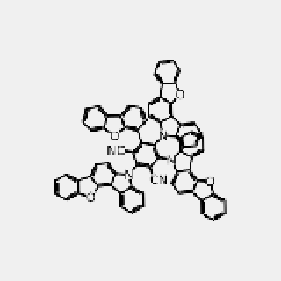 N#Cc1c(-c2cccc3c2oc2ccccc23)c(-n2c3ccccc3c3c4oc5ccccc5c4ccc32)c(-n2c3ccccc3c3c4oc5ccccc5c4ccc32)c(C#N)c1-n1c2ccccc2c2c3oc4ccccc4c3ccc21